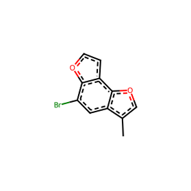 Cc1coc2c1cc(Br)c1occc12